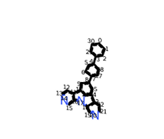 c1ccc(-c2ccc(-c3cc4c5ccncc5n5c6cnccc6c(c3)c45)cc2)cc1